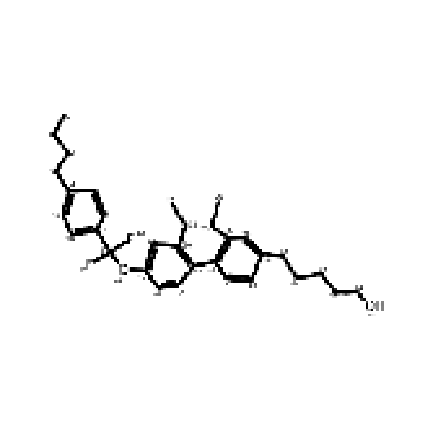 CCCCc1ccc(C(F)(F)Oc2ccc(-c3ccc(CCCCCO)cc3CC)c(CC)c2)cc1